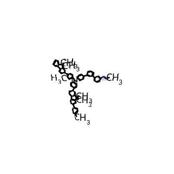 C/C=C/c1cccc(-c2cccc(-c3ccc(N(c4ccc(-c5ccc6c(c5)C(C)(C)c5cc(-c7ccc(C)cc7)ccc5-6)cc4)c4ccc(-c5ccc6c(c5)C(C)(C)c5ccccc5-6)c(C)c4)cc3)c2)c1